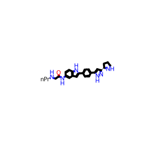 CCCNCC(=O)Nc1ccc2[nH]c(-c3ccc(-c4cc([C@@H]5CCCN5)n[nH]4)cc3)cc2c1